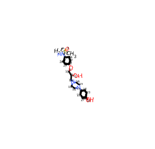 C=S(C)(=O)Nc1ccc(OC[C@@H](O)CN2CCN(c3ccc(O)cc3)CC2)cc1